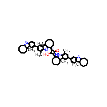 Cc1cc(-c2ccc3c(c2)C2(C)CCCCCCC2=N3)cc2c1N=C1/C(=C3/C(=O)C(/C4=C5\Nc6c(C)cc(-c7ccc8c(c7)N=C7CCCCCCC78C)cc6C5(C)CCCCC4)C3O)CCCCCC12C